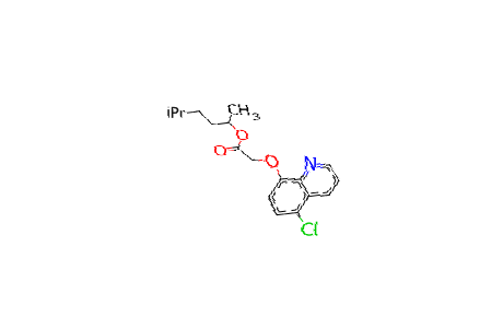 CC(C)CCC(C)OC(=O)COc1ccc(Cl)c2cccnc12